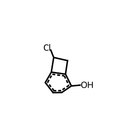 Oc1cccc2c1CC2Cl